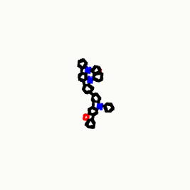 c1ccc(-n2c3ccc(-c4ccc5c6ccc7c8ccccc8n(-c8ccccc8)c7c6n(-c6ccccc6)c5c4)cc3c3cc4oc5ccccc5c4cc32)cc1